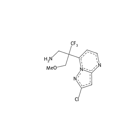 COCC(CN)(c1ccnc2cc(Cl)nn12)C(F)(F)F